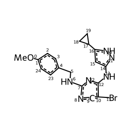 COc1ccc(CNc2ncc(Br)c(Nc3cc(C4CC4)[nH]n3)n2)cc1